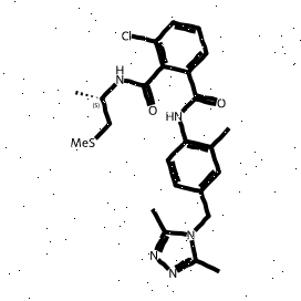 CSC[C@H](C)NC(=O)c1c(Cl)cccc1C(=O)Nc1ccc(Cn2c(C)nnc2C)cc1C